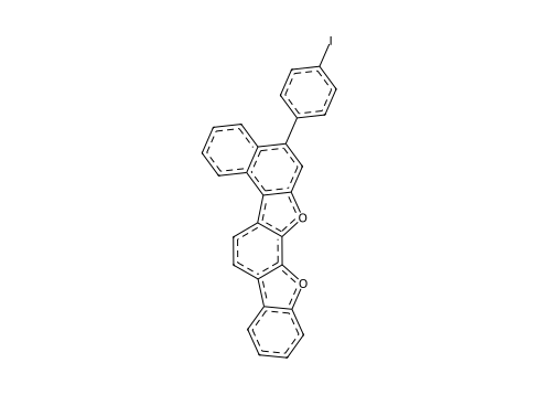 Ic1ccc(-c2cc3oc4c(ccc5c6ccccc6oc54)c3c3ccccc23)cc1